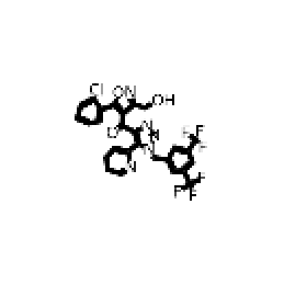 O=C(c1nnn(Cc2cc(C(F)(F)F)cc(C(F)(F)F)c2)c1C1=CCCC=N1)c1c(CO)noc1-c1ccccc1Cl